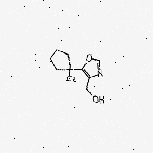 CCC1(c2ocnc2CO)CCCC1